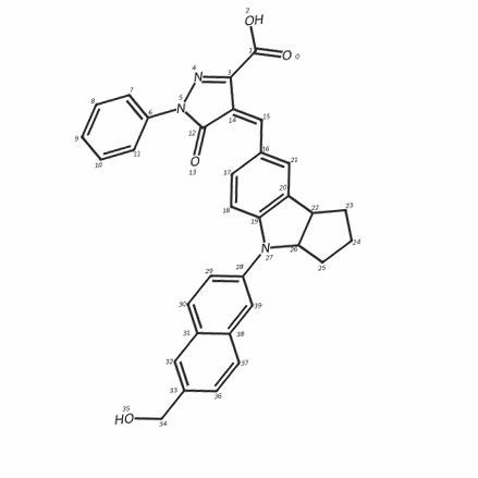 O=C(O)C1=NN(c2ccccc2)C(=O)/C1=C\c1ccc2c(c1)C1CCCC1N2c1ccc2cc(CO)ccc2c1